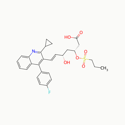 CCCS(=O)(=O)O[C@@H](CC(=O)O)C[C@H](O)/C=C/c1c(C2CC2)nc2ccccc2c1-c1ccc(F)cc1